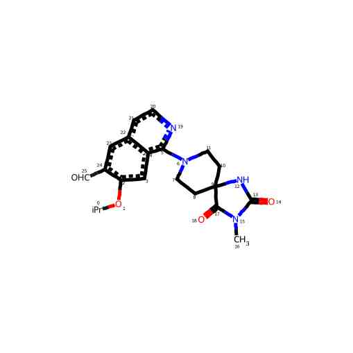 CC(C)Oc1cc2c(N3CCC4(CC3)NC(=O)N(C)C4=O)nccc2cc1C=O